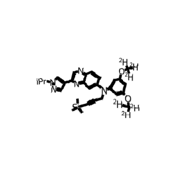 [2H]C([2H])([2H])Oc1cc(OC([2H])([2H])[2H])cc(N(CC#C[Si](C)(C)C)c2ccc3ncc(-c4cnn(C(C)C)c4)nc3c2)c1